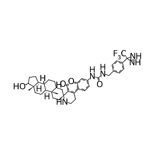 C[C@]12CC[C@]3(C[C@@H]1CC[C@@H]1[C@@H]2CC[C@]2(C)[C@@H](O)CC[C@@H]12)NCCc1c3c(=O)oc2cc(NC(=O)NCc3ccc(C4(C(F)(F)F)NN4)cc3)ccc12